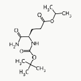 CC(C)OC(=O)CC[C@@H](NC(=O)OC(C)(C)C)C(N)=O